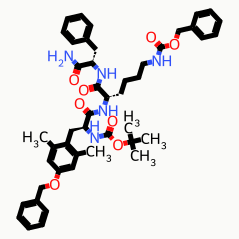 Cc1cc(OCc2ccccc2)cc(C)c1C[C@H](NC(=O)OC(C)(C)C)C(=O)N[C@@H](CCCCNC(=O)OCc1ccccc1)C(=O)N[C@@H](Cc1ccccc1)C(N)=O